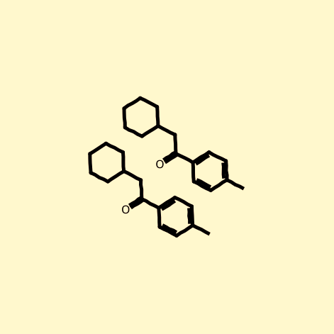 Cc1ccc(C(=O)CC2CCCCC2)cc1.Cc1ccc(C(=O)CC2CCCCC2)cc1